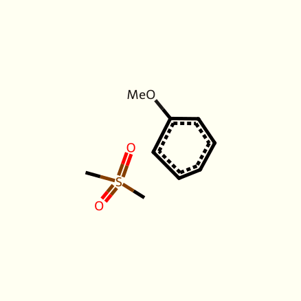 COc1ccccc1.CS(C)(=O)=O